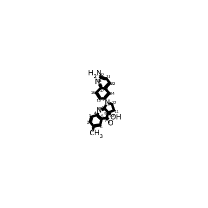 Cc1ccc2c(c1)C(=O)C1(O)CCN(c3ccc4nc(N)ccc4c3)C1=N2